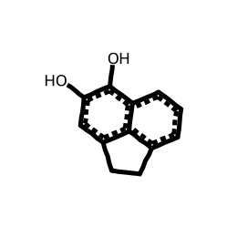 Oc1cc2c3c(cccc3c1O)CC2